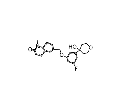 Cn1c(=O)ccc2cc(COc3cc(F)cc(C4(O)CCOCC4)c3)ccc21